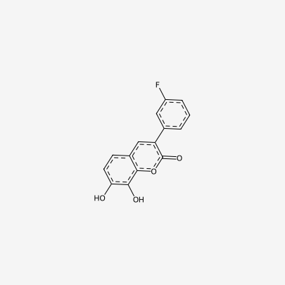 O=c1oc2c(O)c(O)ccc2cc1-c1cccc(F)c1